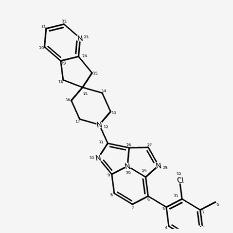 Cc1nccc(-c2ccc3nc(N4CCC5(CC4)Cc4cccnc4C5)c4cnc2n34)c1Cl